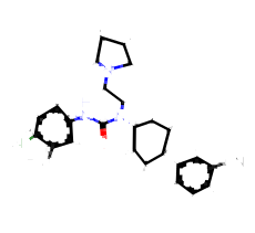 N#Cc1cccc([C@H]2CC[C@@H](N(CCN3CCCC3)C(=O)Nc3ccc(F)c(C(F)(F)F)c3)CC2)c1